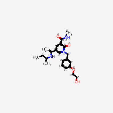 C=C(NC(C)CC)c1cc(C(=O)NC)c(=O)n(Cc2cccc(OCCO)c2)c1